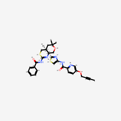 CC#CCOc1ccc(C(=O)Nc2csc([C@@]34COC(C)(C)C[C@@H]3CSC(NC(=O)c3ccccc3)=N4)n2)nc1